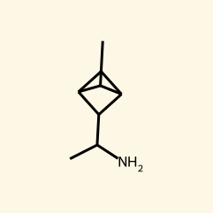 CC(N)C1C2CC1C2C